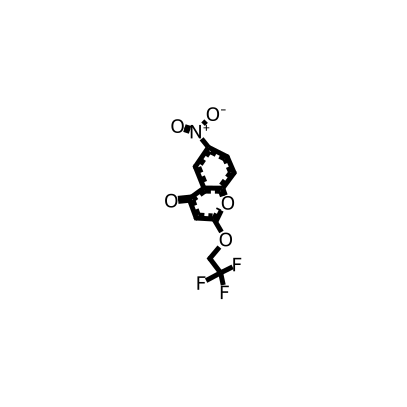 O=c1cc(OCC(F)(F)F)oc2ccc([N+](=O)[O-])cc12